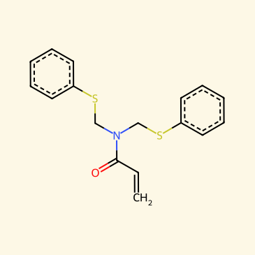 C=CC(=O)N(CSc1ccccc1)CSc1ccccc1